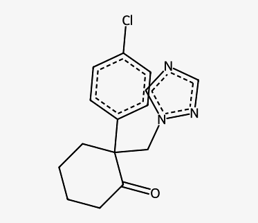 O=C1CCCCC1(Cn1cncn1)c1ccc(Cl)cc1